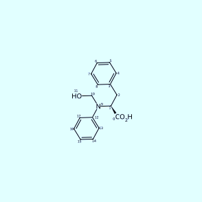 O=C(O)[C@H](Cc1ccccc1)N(CO)c1ccccc1